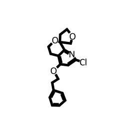 Clc1cc(OCCc2ccccc2)c2c(n1)C1(CCOC1)OCC2